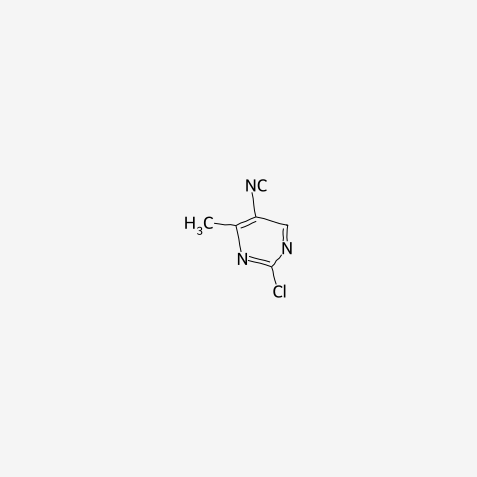 [C-]#[N+]c1cnc(Cl)nc1C